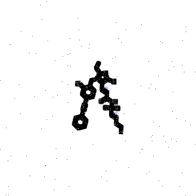 CCC/C=C/S(=O)(=O)NC(=O)/C=C/c1c(Cl)nc(CC)n1Cc1ccc(C#Cc2ccccc2)cc1Cl